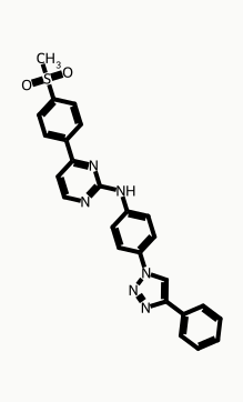 CS(=O)(=O)c1ccc(-c2ccnc(Nc3ccc(-n4cc(-c5ccccc5)nn4)cc3)n2)cc1